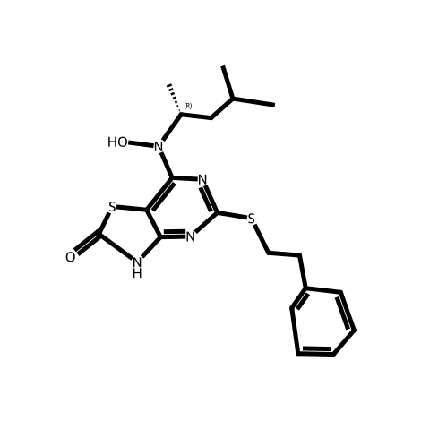 CC(C)C[C@@H](C)N(O)c1nc(SCCc2ccccc2)nc2[nH]c(=O)sc12